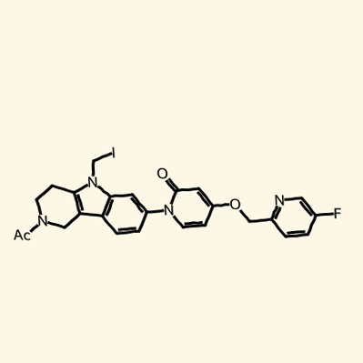 CC(=O)N1CCc2c(c3ccc(-n4ccc(OCc5ccc(F)cn5)cc4=O)cc3n2CI)C1